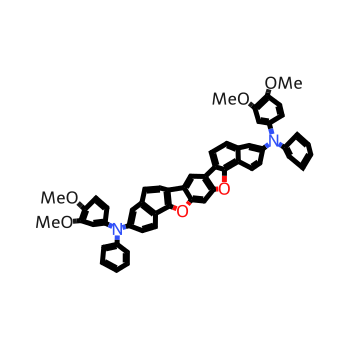 COc1ccc(N(c2ccccc2)c2ccc3c(ccc4c5cc6c(cc5oc34)oc3c4ccc(N(c5ccccc5)c5ccc(OC)c(OC)c5)cc4ccc63)c2)cc1OC